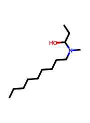 CCCCCCCCCN(C)C(O)CC